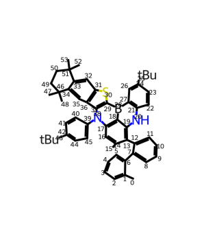 Cc1ccccc1-c1ccccc1-c1c(C)cc2c3c1Nc1ccc(C(C)(C)C)cc1B3c1sc3cc4c(cc3c1N2c1ccc(C(C)(C)C)cc1)C(C)(C)CCC4(C)C